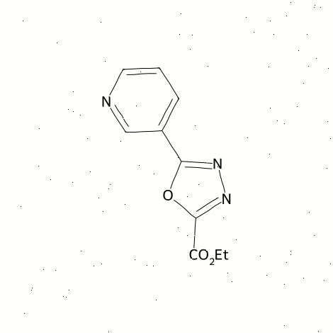 CCOC(=O)c1nnc(-c2cccnc2)o1